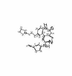 C#Cc1ccc(Nc2ncc3c(n2)-c2cc(CCCN4CCCC4)ccc2NC(=O)C3)cc1